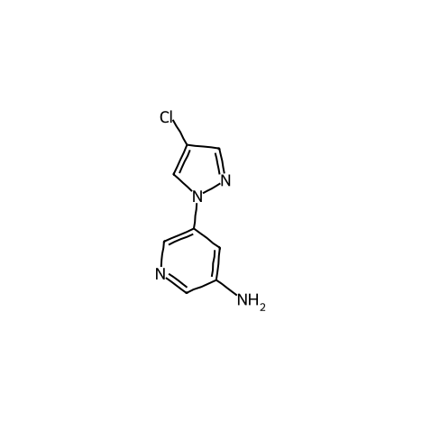 Nc1cncc(-n2cc(Cl)cn2)c1